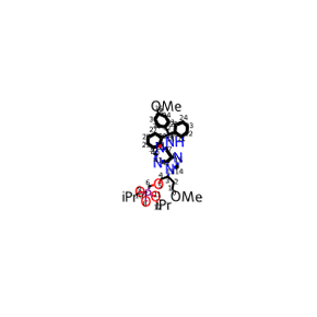 COCCC(COCP(=O)(OC(C)C)OC(C)C)n1cnc2c(NC(c3ccccc3)(c3ccccc3)c3ccc(OC)cc3)ncnc21